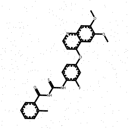 COc1cc2nccc(Oc3ccc(NC(=S)NC(=O)c4ccccc4C)c(F)c3)c2cc1OC